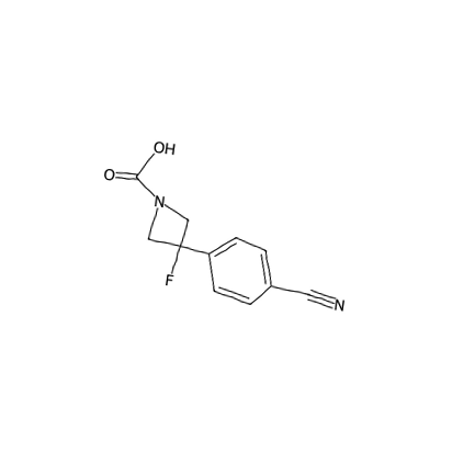 N#Cc1ccc(C2(F)CN(C(=O)O)C2)cc1